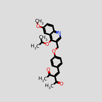 COc1ccc2ncc(COc3ccc(C=C(C(C)=O)C(C)=O)cc3)c(OC(C)C)c2c1